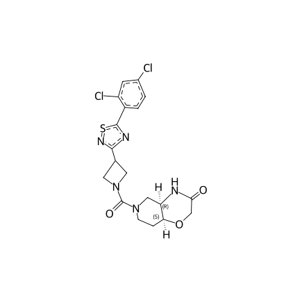 O=C1CO[C@H]2CCN(C(=O)N3CC(c4nsc(-c5ccc(Cl)cc5Cl)n4)C3)C[C@H]2N1